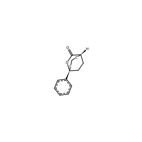 O=C1O[C@]2(c3ccccc3)CCC[C@H]1CC2